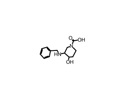 O=C(O)N1CCC(O)C(NCc2ccccc2)C1